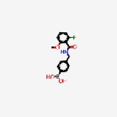 COc1cccc(F)c1C(=O)NCc1ccc(B(O)O)cc1